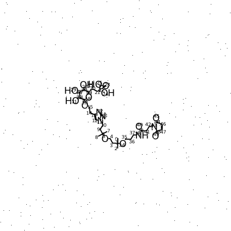 CC(C)(CCOC(C)(C)CCn1cc(CCO[C@H]2O[C@H](CCP(=O)(O)O)[C@@H](O)[C@H](O)[C@@H]2O)nn1)OCCCNC(=O)CCN1C(=O)C=CC1=O